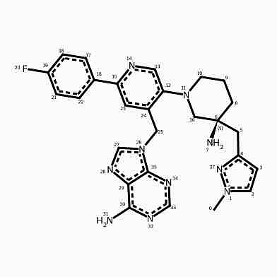 Cn1ccc(C[C@@]2(N)CCCN(c3cnc(-c4ccc(F)cc4)cc3Cn3cnc4c(N)ncnc43)C2)n1